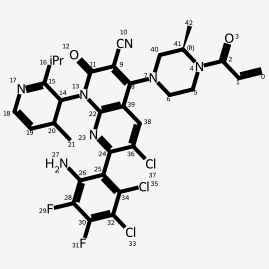 C=CC(=O)N1CCN(c2c(C#N)c(=O)n(C3C(C(C)C)=NC=CC3C)c3nc(-c4c(N)c(F)c(F)c(Cl)c4Cl)c(Cl)cc23)C[C@H]1C